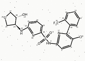 O=S(=O)(Nc1ccc(Cl)c(-c2ccccc2C(F)(F)F)n1)c1cccc(N[C@H]2COC[C@@H]2O)n1